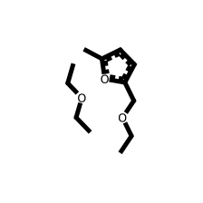 CCOCC.CCOCc1ccc(C)o1